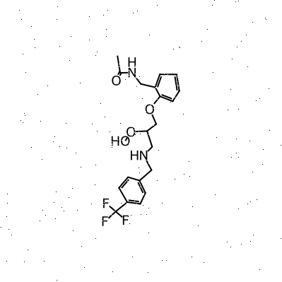 CC(=O)NCc1ccccc1OCC(CNCc1ccc(C(F)(F)F)cc1)OO